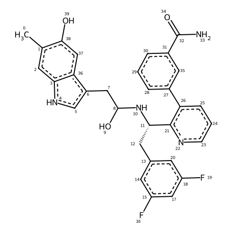 Cc1cc2[nH]cc(CC(O)N[C@@H](Cc3cc(F)cc(F)c3)c3ncccc3-c3cccc(C(N)=O)c3)c2cc1O